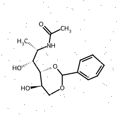 CC(=O)N[C@@H](C)[C@@H](O)[C@@H]1OC(c2ccccc2)OC[C@H]1O